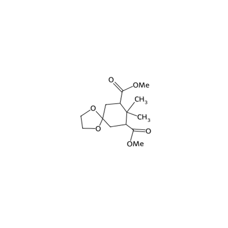 COC(=O)C1CC2(CC(C(=O)OC)C1(C)C)OCCO2